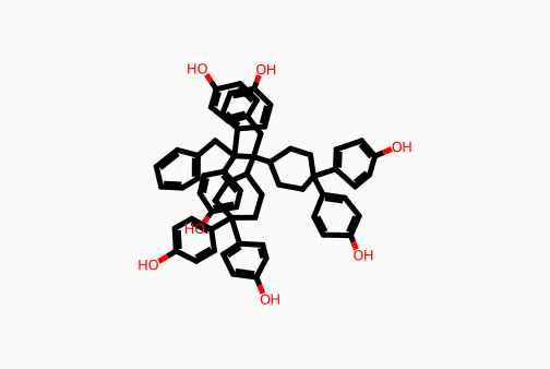 Oc1ccc(CC(C2CCC(c3ccc(O)cc3)(c3ccc(O)cc3)CC2)(C2CCC(c3ccc(O)cc3)(c3ccc(O)cc3)CC2)C(Cc2ccccc2)(c2ccc(O)cc2)c2ccc(O)cc2)cc1